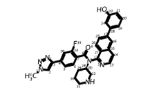 Cn1cc(-c2ccc(C(=O)N(c3nccc4cc(-c5cccc(O)c5)ccc34)[C@@H]3CCCNC3)c(F)c2)nn1